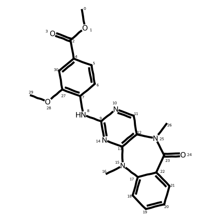 COC(=O)c1ccc(Nc2ncc3c(n2)N(C)c2ccccc2C(=O)N3C)c(OC)c1